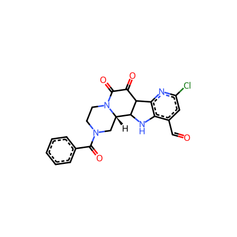 O=Cc1cc(Cl)nc2c1NC1C2C(=O)C(=O)N2CCN(C(=O)c3ccccc3)C[C@@H]12